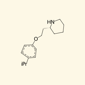 CC(C)c1ccc(OCC[C@H]2CCCCN2)cc1